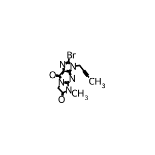 CC#CCn1c(Br)nc2c(=O)n3c(nc21)N(C)C(=O)C3